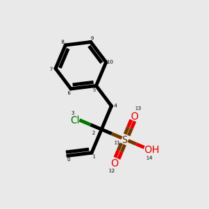 C=CC(Cl)(Cc1ccccc1)S(=O)(=O)O